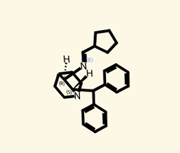 C(=N\[C@@H]1C2CCN(CC2)[C@H]1C(c1ccccc1)c1ccccc1)/C1CCCC1